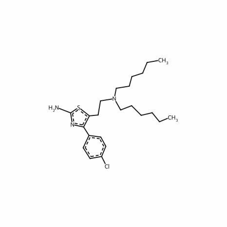 CCCCCCN(CCCCCC)CCc1sc(N)nc1-c1ccc(Cl)cc1